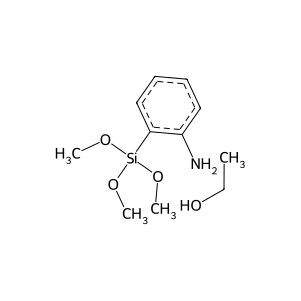 CCO.CO[Si](OC)(OC)c1ccccc1N